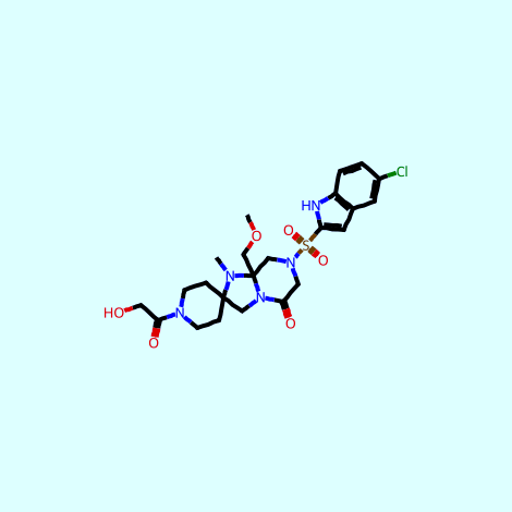 COCC12CN(S(=O)(=O)c3cc4cc(Cl)ccc4[nH]3)CC(=O)N1CC1(CCN(C(=O)CO)CC1)N2C